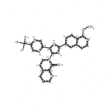 COc1nccc2cc(-c3nc(-n4ccc5cccnc5c4=O)c(-c4cnc(C(F)(F)F)cn4)o3)ccc12